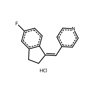 Cl.Fc1ccc2c(c1)CC/C2=C/c1ccncc1